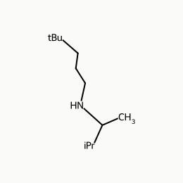 CC(C)C(C)NCCCC(C)(C)C